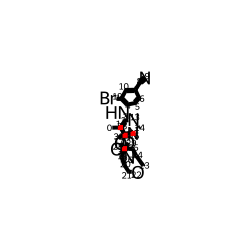 Cc1c(Nc2ccc(C#N)cc2Br)ncnc1OC1CC2COCC(C1)N2C(=O)OC(C)(C)C